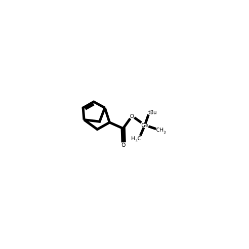 C[C](C)(C)[Ge]([CH3])([CH3])[O]C(=O)C1CC2C=CC1C2